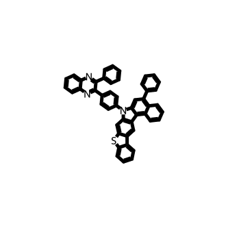 c1ccc(-c2nc3ccccc3nc2-c2ccc(-n3c4cc5sc6ccccc6c5cc4c4c5ccccc5c(-c5ccccc5)cc43)cc2)cc1